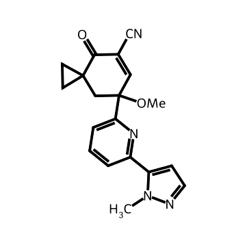 COC1(c2cccc(-c3ccnn3C)n2)C=C(C#N)C(=O)C2(CC2)C1